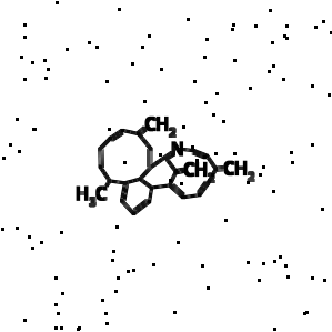 C=C1/C=C\C=C/C(C)C2=CC=CC3c4cccc(=C)ccnc(c4=C)/C(=C/1)C23